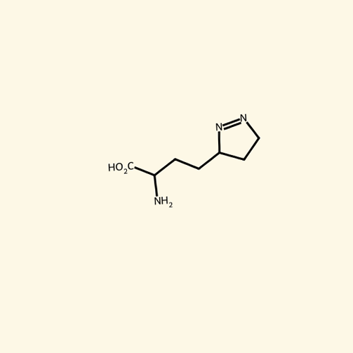 NC(CCC1CCN=N1)C(=O)O